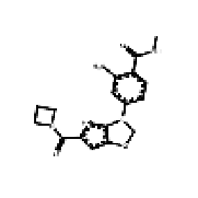 CNC(=O)c1ccc(N2COc3cc(C(=O)N4CCC4)[nH]c32)cc1N